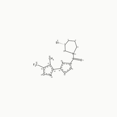 CC[C@@H]1CCCN(C(=O)c2ccc(-c3noc(C(F)(F)F)c3C)s2)C1